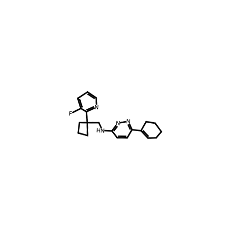 Fc1cccnc1C1(CNc2ccc(C3=CCCCC3)nn2)CCC1